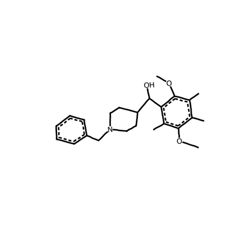 COc1c(C)c(C)c(OC)c(C(O)C2CCN(Cc3ccccc3)CC2)c1C